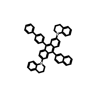 c1ccc(-c2ccc(-c3c4ccc(N5CCCc6ccccc65)cc4c(-c4ccc5ccccc5c4)c4ccc(N5CCCc6ccccc65)cc34)cc2)cc1